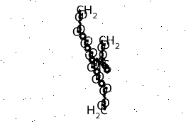 C=CC(=O)OCCCCOC(=O)C1CCC(C(=O)OC2CCC(C(=O)Oc3ccc(OC(=O)C4CCC(OC(=O)C5CCC(C(=O)OCCCCOC(=O)C=C)CC5)CC4)c(/C=N/N(CCOCCOC(=O)C=C)c4nc5ccccc5s4)c3)CC2)CC1